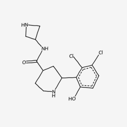 O=C(NC1CNC1)C1CCNC(c2c(O)ccc(Cl)c2Cl)C1